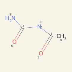 CC(=O)[N]C(N)=O